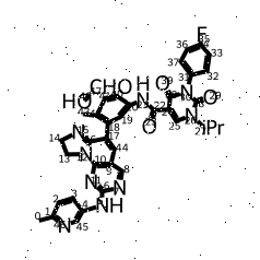 Cc1ccc(Nc2ncc3c(n2)N2CCN=C2C(c2cc(NC(=O)c4cn(C(C)C)c(=O)n(-c5ccc(F)cc5)c4=O)ccc2C)=C3)cn1.O=CO